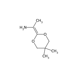 CC(N)=C1OCC(C)(C)CO1